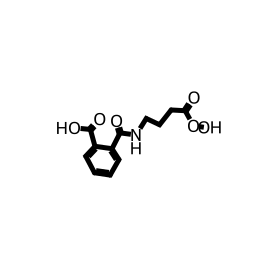 O=C(CCCNC(=O)c1ccccc1C(=O)O)OO